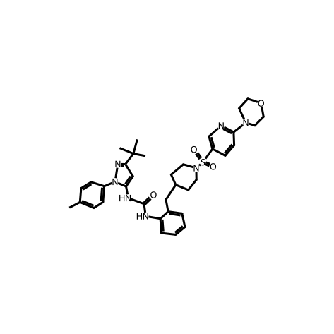 Cc1ccc(-n2nc(C(C)(C)C)cc2NC(=O)Nc2ccccc2CC2CCN(S(=O)(=O)c3ccc(N4CCOCC4)nc3)CC2)cc1